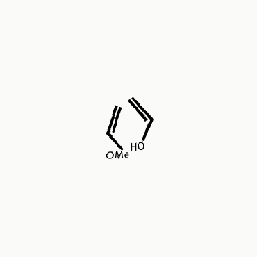 C=CO.C=COC